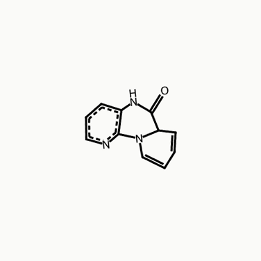 O=C1Nc2cccnc2N2C=CC=CC12